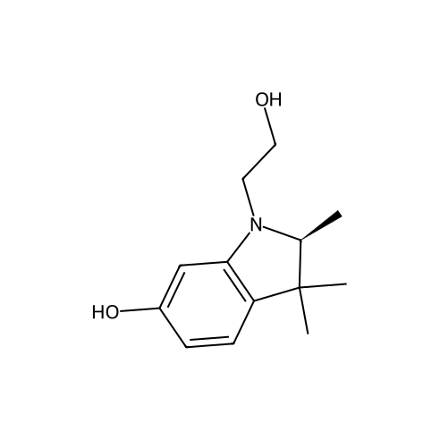 C[C@@H]1N(CCO)c2cc(O)ccc2C1(C)C